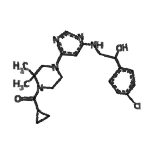 CC1(C)CN(c2cc(NCC(O)c3ccc(Cl)cc3)ncn2)CCN1C(=O)C1CC1